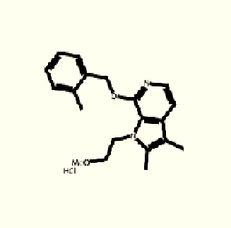 COCCn1c(C)c(C)c2ccnc(OCc3ccccc3C)c21.Cl